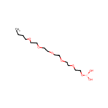 CCCCOCCOCCOCCOCCOCCOB(O)O